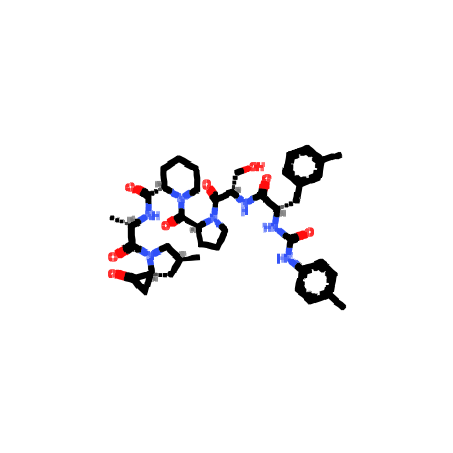 Cc1ccc(NC(=O)N[C@@H](Cc2cccc(C)c2)C(=O)N[C@@H](CO)C(=O)N2CCC[C@H]2C(=O)N2CCCC[C@H]2C(=O)N[C@@H](C)C(=O)N2C[C@@H](C)C[C@@]23CC3=O)cc1